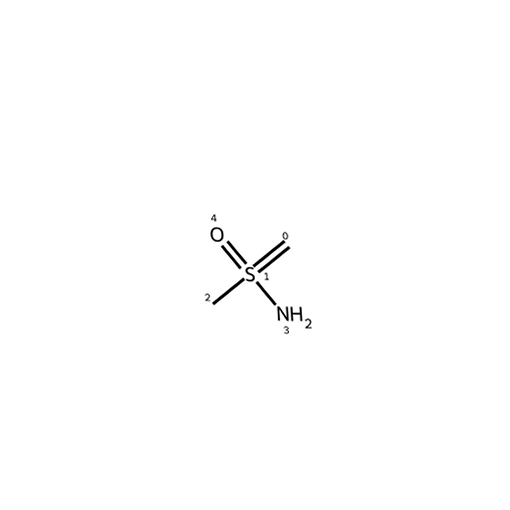 C=S(C)(N)=O